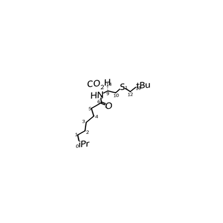 CC(C)CCCCCC(=O)N[C@@H](CSCC(C)(C)C)C(=O)O